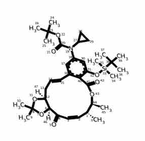 C[C@@H]1/C=C\C(=O)[C@H]2OC(C)(C)O[C@H]2C/C=C/c2cc(N(C(=O)OC(C)(C)C)C3CC3)cc(O[Si](C)(C)C(C)(C)C)c2C(=O)O[C@H]1C